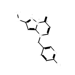 CSc1cc2n(Cc3ccc(Cl)nc3)ccc(=O)n2n1